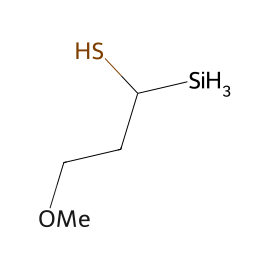 COCCC([SiH3])S